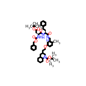 Cc1ccc(OCCC2CC3CCCCC3N(C(=O)OC(C)(C)C)C2)cc1CNC(=O)[C@H](CCc1ccccc1)NC(=O)[C@H](CC(=O)OC(C)(C)C)NC(=O)OCc1ccccc1